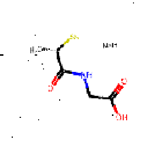 C[C@H](S)C(=O)NCC(=O)O.[NaH]